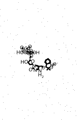 CC(C)(C)[C@H](OCc1cn([C@H]2CC(O)[C@@H](COP(=O)(O)OP(=O)(O)OP(=O)(O)O)O2)c(=O)nc1N)c1ccccc1[N+](=O)[O-]